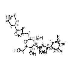 OC[C@H]1O[C@H](CC2=NOC(C3CCNCC3)C2)[C@H](O)[C@@H](n2cc(-c3cc(F)c(F)c(F)c3)nn2)[C@H]1O